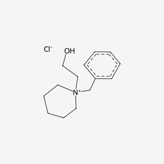 OCC[N+]1(Cc2ccccc2)CCCCC1.[Cl-]